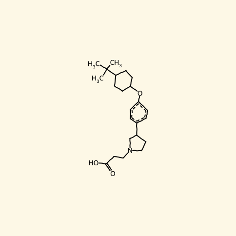 CC(C)(C)C1CCC(Oc2ccc(C3CCN(CCC(=O)O)C3)cc2)CC1